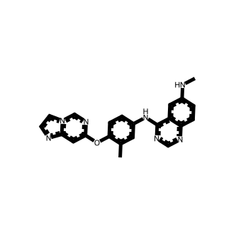 CNc1ccc2ncnc(Nc3ccc(Oc4cc5nccn5cn4)c(C)c3)c2c1